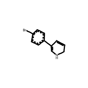 Brc1ccc(C2=CNCC=[C]2)cc1